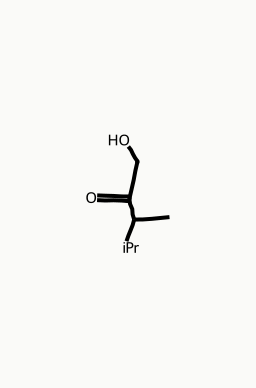 CC(C)C(C)C(=O)CO